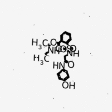 CCNC(C)OC(=O)c1ccccc1S(=O)(=O)NCC(=O)Nc1ccc(O)cc1